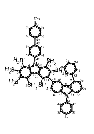 Bc1c(B)c(B)c2c(c1B)c1c(B)c(-c3ccc4c(c3)c3c(-c5ccccc5)cccc3n4-c3ccccc3)c(B)c(B)c1n2-c1ccc(-c2ccc(F)cc2)cc1